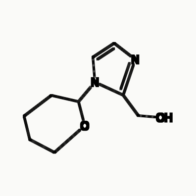 OCc1nccn1C1CCCCO1